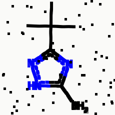 Bc1nc(C(C)(C)C)n[nH]1